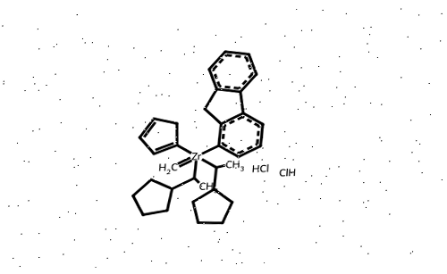 Cl.Cl.[CH2]=[Zr]([C]1=CC=CC1)([c]1cccc2c1Cc1ccccc1-2)([CH](C)C1CCCC1)[CH](C)C1CCCC1